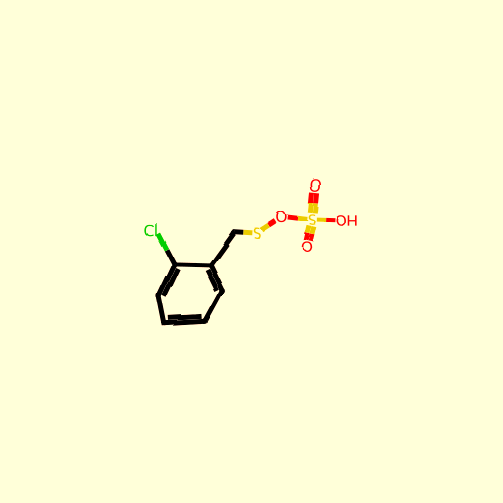 O=S(=O)(O)OSCc1ccccc1Cl